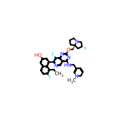 CCc1c(F)ccc2cc(O)cc(-c3ncc4c(NCC5=CN(C)CC=C5)nc(OC[C@@]56CCCN5C[C@H](F)C6)nc4c3F)c12